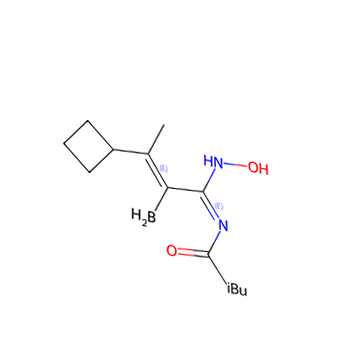 BC(/C(=N\C(=O)C(C)CC)NO)=C(/C)C1CCC1